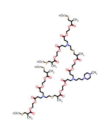 CCCCCCCCSCC(C)C(=O)OCCOC(=O)CCN(CCSCC(C)C(=O)OCCOC(=O)CCN(CCCN1CCN(C)CC1)CCC(=O)OCCOC(=O)C(C)CSCCN(CCC(=O)OCCOC(=O)C(C)CSCCCCCCCC)CCC(=O)OCCOC(=O)C(C)CSCCCCCCCC)CCC(=O)OCCOC(=O)C(C)CSCCCCCCCC